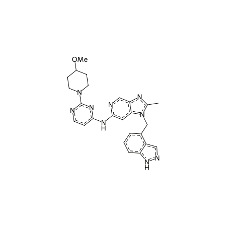 COC1CCN(c2nccc(Nc3cc4c(cn3)nc(C)n4Cc3cccc4[nH]ncc34)n2)CC1